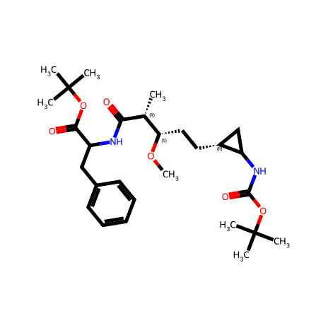 CO[C@@H](CC[C@@H]1CC1NC(=O)OC(C)(C)C)[C@@H](C)C(=O)NC(Cc1ccccc1)C(=O)OC(C)(C)C